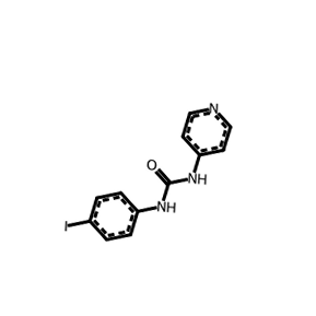 O=C(Nc1ccncc1)Nc1ccc(I)cc1